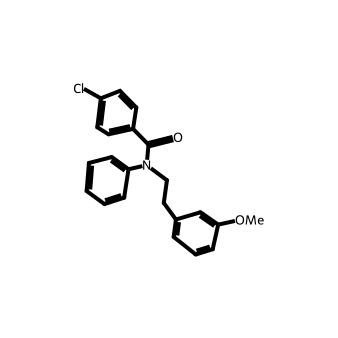 COc1cccc(CCN(C(=O)c2ccc(Cl)cc2)c2ccccc2)c1